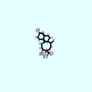 CCC(=O)[C@@]1(O)CCC(C)C2CCC3=CC(=O)CCC3=C2CC[C@@H]1C